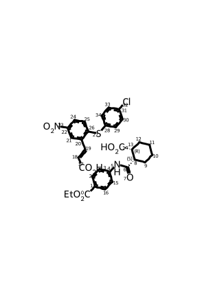 CCOC(=O)c1ccc(NC(=O)[C@H]2CCCC[C@H]2C(=O)O)cc1.O=C(O)C=Cc1cc([N+](=O)[O-])ccc1Sc1ccc(Cl)cc1